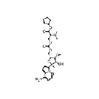 CN(C)[C@@H](COC(=O)OC[C@H]1O[C@@](C)(c2ccc3c(N)ncnn23)[C@H](O)[C@@H]1O)C(=O)OC1CCCC1